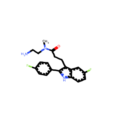 CN(CCN)C(=O)CCc1c(-c2ccc(F)cc2)[nH]c2ccc(F)cc12